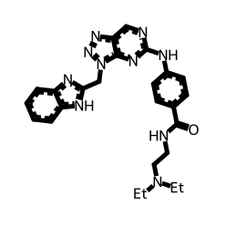 CCN(CC)CCNC(=O)c1ccc(Nc2ncc3nnn(Cc4nc5ccccc5[nH]4)c3n2)cc1